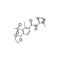 Cc1c(C(=O)Nc2ncnn2C)ccc(C2OCCO2)c1S(C)(=O)=O